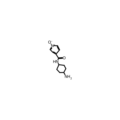 NC1CCC(NC(=O)c2cc[n+]([O-])cc2)CC1